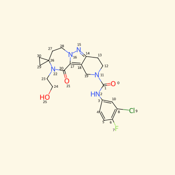 O=C(Nc1ccc(F)c(Cl)c1)N1CCc2nn3c(c2C1)C(=O)N(CCO)C1(CC3)CC1